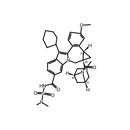 COc1ccc2c(c1)[C@@H]1C[C@]1(C(=O)N1[C@@H]3C[C@H]1CN(C)C3)Cn1c-2c(C2CCCCC2)c2ccc(C(=O)NS(=O)(=O)N(C)C)cc21